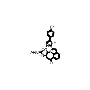 COC(=O)N[C@H]1CC(=O)c2cccc3c2N(C1=O)[C@H](c1ncc(-c2ccc(Br)cc2)[nH]1)C3